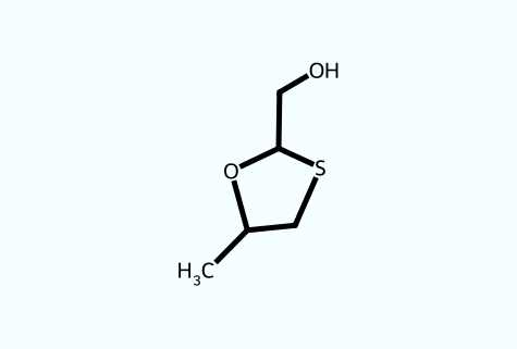 CC1CSC(CO)O1